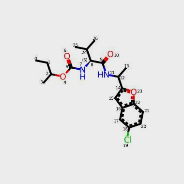 CCC(C)OC(=O)N[C@H](C(=O)NC(C)c1cc2cc(Cl)ccc2o1)C(C)C